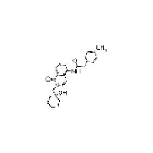 Cc1ccc(CC(=O)Nc2cccc3c(=O)n(CC4(O)CCCCC4)ccc23)cc1